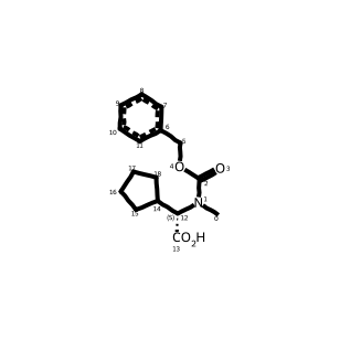 CN(C(=O)OCc1ccccc1)[C@H](C(=O)O)C1CCCC1